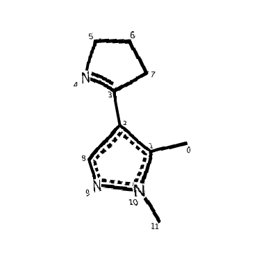 Cc1c(C2=NCCC2)cnn1C